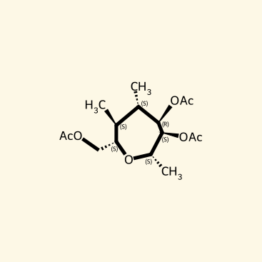 CC(=O)OC[C@H]1O[C@@H](C)[C@H](OC(C)=O)[C@H](OC(C)=O)[C@@H](C)[C@@H]1C